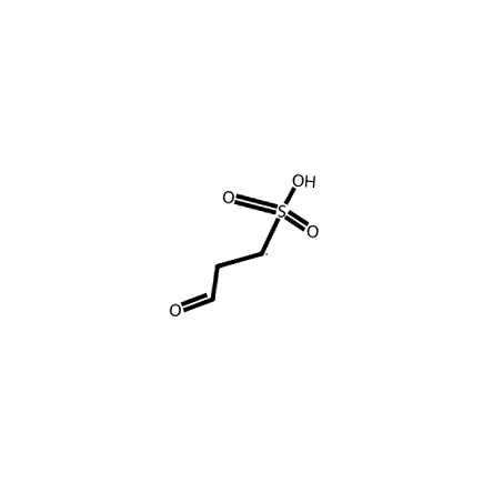 O=CC[CH]S(=O)(=O)O